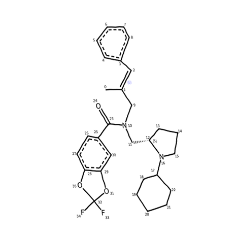 C/C(=C\c1ccccc1)CN(C[C@@H]1CCCN1C1CCCCC1)C(=O)c1ccc2c(c1)OC(F)(F)O2